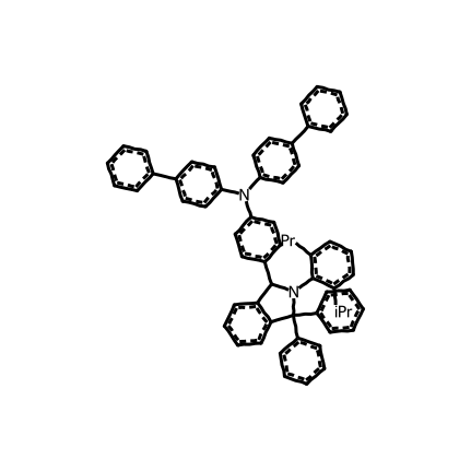 CC(C)c1cccc(C(C)C)c1N1C(c2ccc(N(c3ccc(-c4ccccc4)cc3)c3ccc(-c4ccccc4)cc3)cc2)c2ccccc2C1(c1ccccc1)c1ccccc1